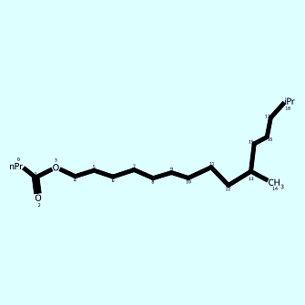 CCCC(=O)OCCCCCCCCCC(C)CCCC(C)C